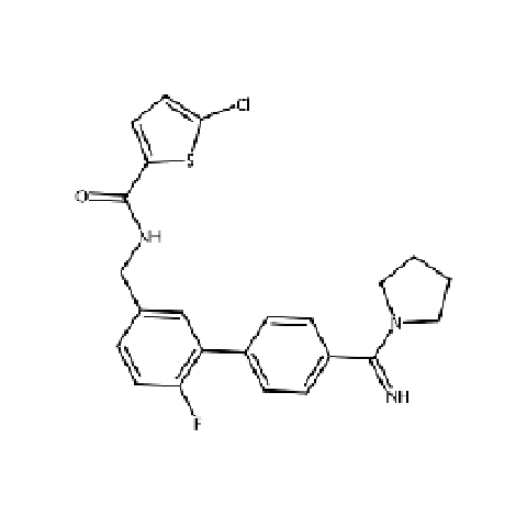 N=C(c1ccc(-c2cc(CNC(=O)c3ccc(Cl)s3)ccc2F)cc1)N1CCCC1